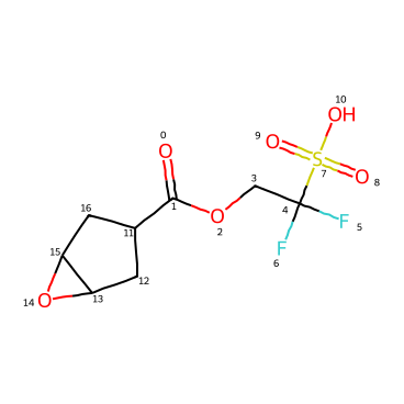 O=C(OCC(F)(F)S(=O)(=O)O)C1CC2OC2C1